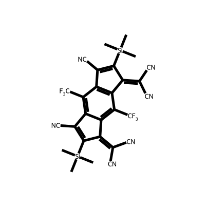 C[Si](C)(C)C1=C(C#N)c2c(c(C(F)(F)F)c3c(c2C(F)(F)F)C(C#N)=C([Si](C)(C)C)C3=C(C#N)C#N)C1=C(C#N)C#N